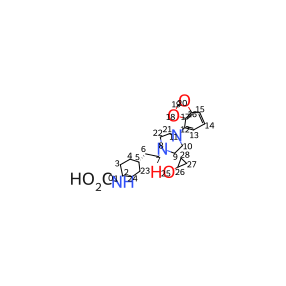 O=C(O)N[C@H]1CC[C@H](CCN2CCN(c3cccc4c3OCO4)CC2)CC1.OC1CC1